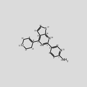 Nc1ccc(-c2nc(C3=CCOCC3)c3ccsc3n2)cn1